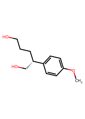 COc1ccc([C@H](CO)CCCO)cc1